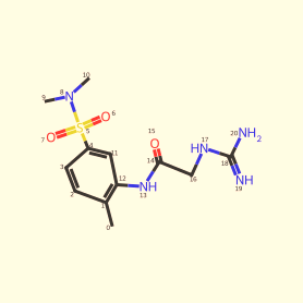 Cc1ccc(S(=O)(=O)N(C)C)cc1NC(=O)CNC(=N)N